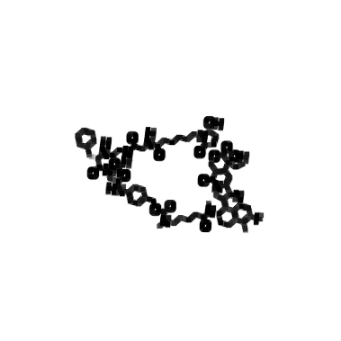 CC[C@@]1(O)C(=O)OCc2c1cc1n(c2=O)Cc2c-1nc1cc(F)c(C)c3c1c2[C@@H](N(C)C(=O)CCCCN(C)C(=O)OCc1ccc(NC(=O)CNC(=O)[C@H](Cc2ccccc2)NC(=O)CNC(=O)CNC(=O)CCCCCN2C(=O)C=CC2O)cc1)CC3